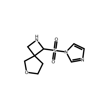 O=S(=O)(C1NCC12CCOC2)n1ccnc1